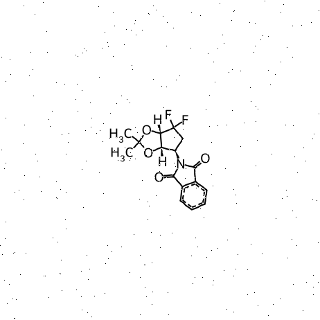 CC1(C)O[C@H]2[C@H](N3C(=O)c4ccccc4C3=O)CC(F)(F)[C@H]2O1